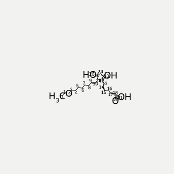 CCOCCCCCC/C=C/[C@@H]1C(C/C=C\CCCC(=O)O)[C@@H](O)C[C@H]1O